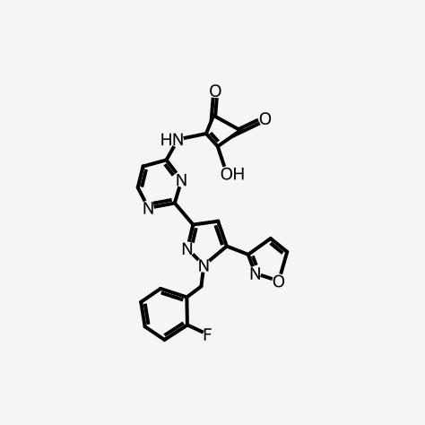 O=c1c(O)c(Nc2ccnc(-c3cc(-c4ccon4)n(Cc4ccccc4F)n3)n2)c1=O